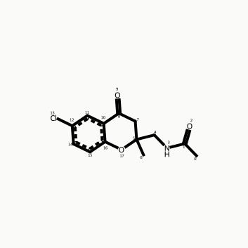 CC(=O)NCC1(C)CC(=O)c2cc(Cl)ccc2O1